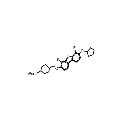 CCCCCC1CCC(COc2ccc3c(oc4c(F)c(OC5CCCC5)ccc43)c2F)CC1